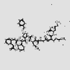 CCCCC(NC(=O)C(CCCC)NC(=O)CNC(=O)C(=O)C(CCC)NC(=O)[C@@H]1C[C@@H](OCc2ccccc2)CN1C(=O)C(NC(=O)Cc1ccccc1CC(=O)O)C1CCCCC1)C(N)=O